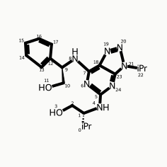 CC(C)[C@H](CO)Nc1nc(N[C@@H](CO)c2ccccc2)c2nnn(C(C)C)c2n1